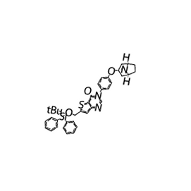 CN1[C@@H]2CC[C@H]1C[C@@H](Oc1ccc(-n3cnc4cc(CO[Si](c5ccccc5)(c5ccccc5)C(C)(C)C)sc4c3=O)cc1)C2